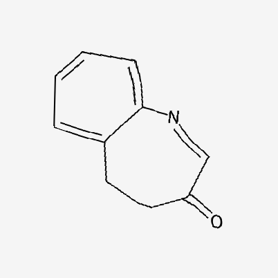 O=C1C=Nc2ccccc2CC1